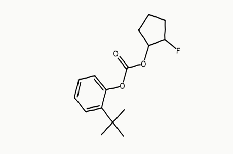 CC(C)(C)c1ccccc1OC(=O)OC1CCCC1F